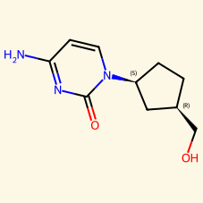 Nc1ccn([C@H]2CC[C@@H](CO)C2)c(=O)n1